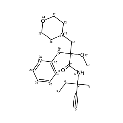 C#CC(C)(CC)NC(=O)C(CN1CCOCC1)(OC)Sc1ccccn1